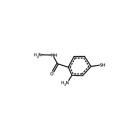 NNC(=O)c1ccc(S)cc1N